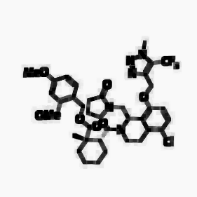 COc1ccc(COC(=O)[C@@]2(C)CCCC[C@H]2C(=O)N2CCc3c(Cl)ccc(OCc4nnn(C)c4C(F)(F)F)c3C2CN2CCCC2=O)c(OC)c1